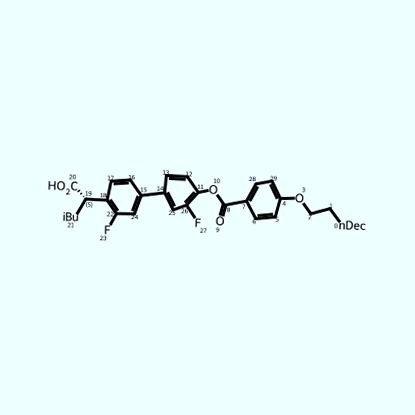 CCCCCCCCCCCCOc1ccc(C(=O)Oc2ccc(-c3ccc([C@@H](C(=O)O)C(C)CC)c(F)c3)cc2F)cc1